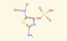 Nc1ncc([N+](=O)[O-])s1.O=S(=O)(O)O